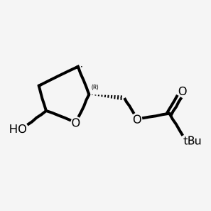 CC(C)(C)C(=O)OC[C@H]1[CH]CC(O)O1